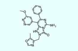 COc1cc(-c2c(-c3ccccc3)nc(N)[n+]3c(=O)n(Cc4ncoc4C)[nH]c23)cnn1